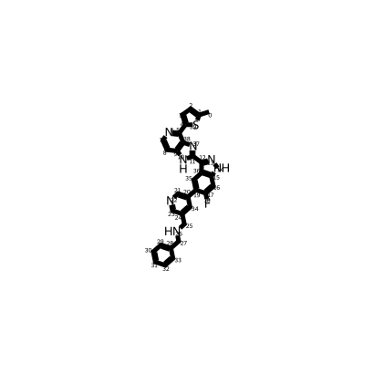 Cc1ccc(-c2nccc3[nH]c(-c4n[nH]c5cc(F)c(-c6cncc(CNCc7ccccc7)c6)cc45)nc23)s1